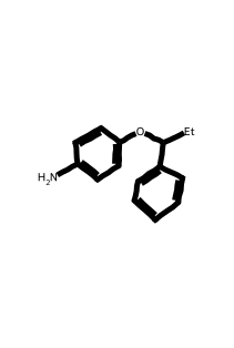 CCC(Oc1ccc(N)cc1)c1ccccc1